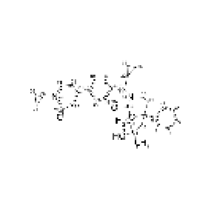 CC(C)(O)CC1(c2ccccc2)CCN([C@H](c2ccc(-c3ccn(C4CC4)c(=O)c3)cc2)C2CC2)C(=O)O1